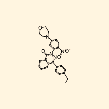 CCc1ccc(-c2nn(-c3cc(N4CCOCC4)ccc3[N+](=O)[O-])c(=O)c3ccccc23)cc1